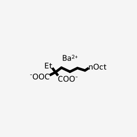 CCCCCCCCCCCCC(CC)(C(=O)[O-])C(=O)[O-].[Ba+2]